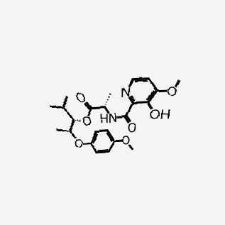 COc1ccc(O[C@@H](C)[C@@H](OC(=O)[C@H](C)NC(=O)c2nccc(OC)c2O)C(C)C)cc1